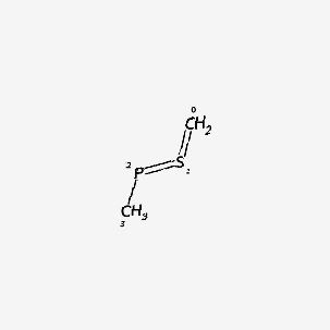 C=S=PC